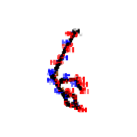 CC(=O)N(O)CCCCCNC(=O)CCC(=O)N(O)CCCCCNC(=O)CCC(=O)N(O)CCCCCNC(=S)Nc1ccc(NC(=S)NCCN(CCNC(=S)Nc2cc(CN3CCOCCOCCN(Cc4cccc(C(=O)O)n4)CCOCCOCC3)nc(C(=O)O)c2)CC(=O)c2ccc(NC(=S)NCCCCC(NC(=O)NC(CCCC(=O)O)C(=O)O)C(=O)O)cc2)cc1